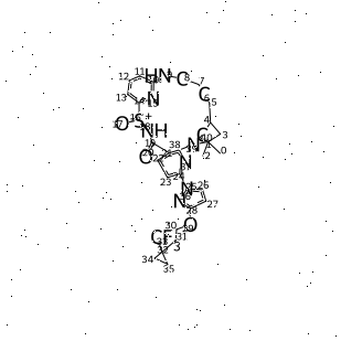 CC1(C)CC2CCCCNc3cccc(n3)[S+]([O-])NC(=O)c3ccc(-n4ccc(OCCC5(C(F)(F)F)CC5)n4)nc3N1C2